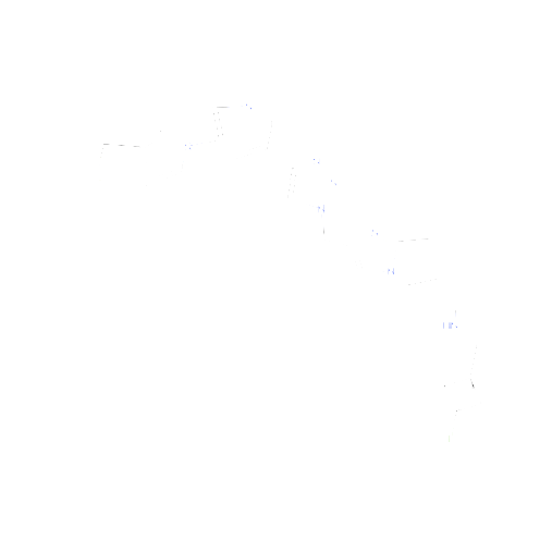 FC12CC(CNCc3ccc4nc(Cn5cc(-c6cncc(-n7cc8c(c7)CSC8)c6)nn5)cn4c3)(C1)C2